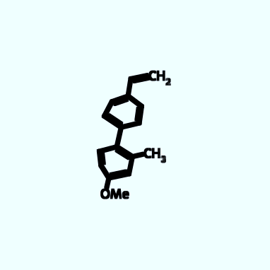 C=Cc1ccc(-c2ccc(OC)cc2C)cc1